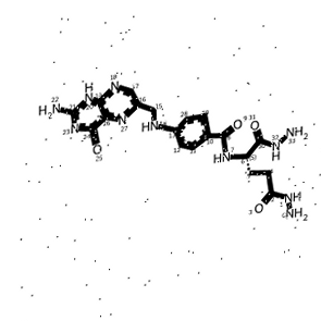 NNC(=O)CC[C@H](NC(=O)c1ccc(NCc2cnc3[nH]c(N)nc(=O)c3n2)cc1)C(=O)NN